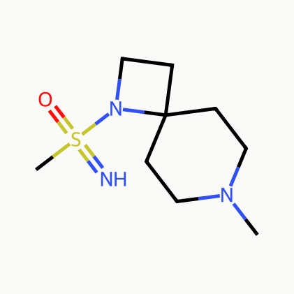 CN1CCC2(CC1)CCN2S(C)(=N)=O